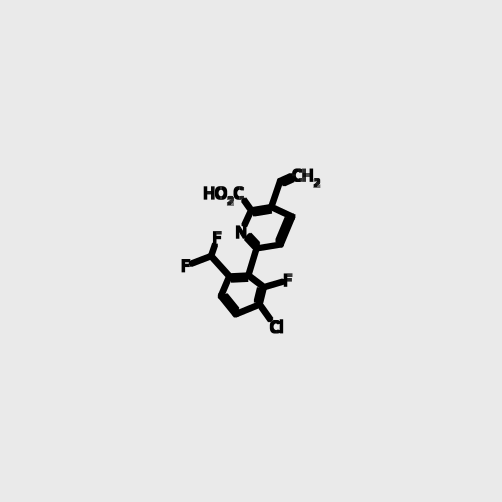 C=Cc1ccc(-c2c(C(F)F)ccc(Cl)c2F)nc1C(=O)O